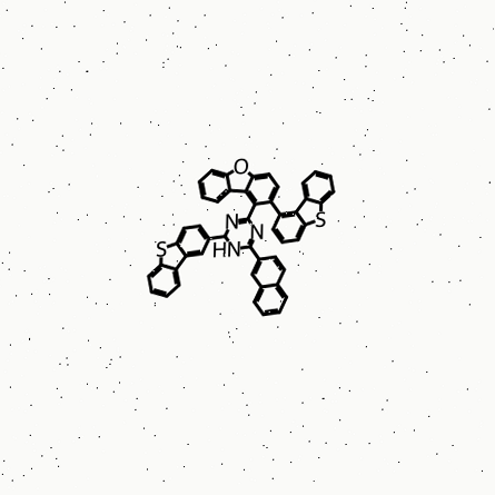 c1ccc2cc(C3=NC(c4c(-c5cccc6sc7ccccc7c56)ccc5oc6ccccc6c45)=NC(c4ccc5sc6ccccc6c5c4)N3)ccc2c1